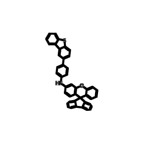 c1ccc2c(c1)Oc1cc(Nc3ccc(-c4ccc5sc6ccccc6c5c4)cc3)ccc1C21c2ccccc2-c2ccccc21